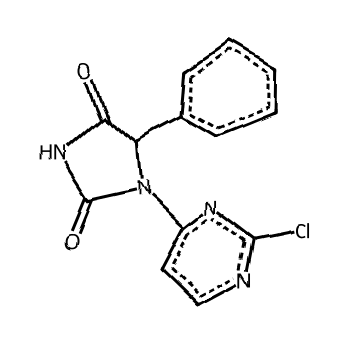 O=C1NC(=O)N(c2ccnc(Cl)n2)C1c1ccccc1